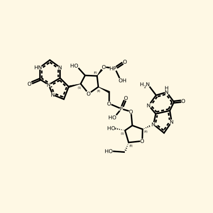 Nc1nc2c(ncn2[C@@H]2O[C@H](CO)[C@H](O)C2OP(=O)(O)OC[C@H]2O[C@@H](c3cnn4c(=O)[nH]cnc34)C(O)[C@H]2O[PH](=O)O)c(=O)[nH]1